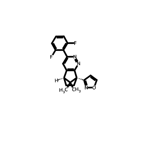 CC1(C)[C@H]2CC[C@]1(c1ccon1)c1nnc(-c3c(F)cccc3F)cc12